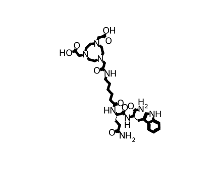 NC(=O)CC[C@H](NC(=O)CCCCCNC(=O)CN1CCN(CC(=O)O)CCN(CC(=O)O)CC1)C(=O)N[C@@H](Cc1c[nH]c2ccccc12)C(N)=O